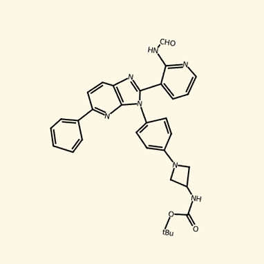 CC(C)(C)OC(=O)NC1CN(c2ccc(-n3c(-c4cccnc4NC=O)nc4ccc(-c5ccccc5)nc43)cc2)C1